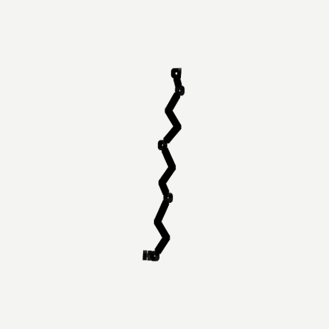 OCCOCCOCCOCl